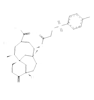 Cc1ccc(S(=O)(=O)OCC(=O)O[C@@H]2C[C@](C)(C(=O)O)[C@@H](O)[C@H](C)[C@]34CCC(=O)[C@@H](C[C@@H](C)[C@]2(C)C3)C4)cc1